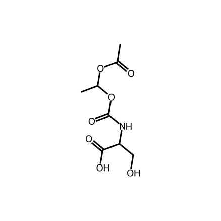 CC(=O)OC(C)OC(=O)NC(CO)C(=O)O